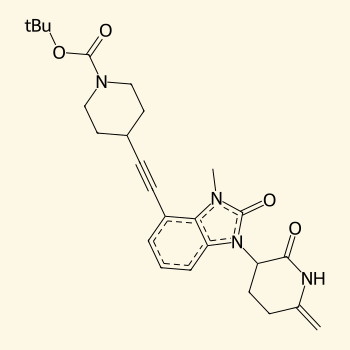 C=C1CCC(n2c(=O)n(C)c3c(C#CC4CCN(C(=O)OC(C)(C)C)CC4)cccc32)C(=O)N1